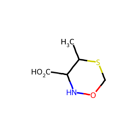 CC1SCONC1C(=O)O